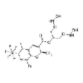 CCC1=CC(S(F)(F)(F)(F)F)C(C)C2=C1O[C@H](C(F)(F)F)C(C(=O)OC(CONO)CONO)=C2